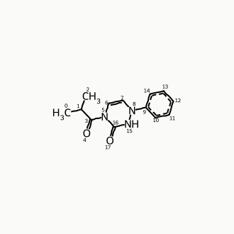 CC(C)C(=O)N1C=CN(c2ccccc2)NC1=O